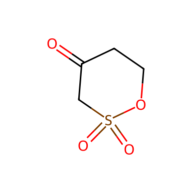 O=C1CCOS(=O)(=O)C1